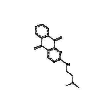 CN(C)CCNc1ccc2c(n1)C(=O)c1ccccc1C2=O